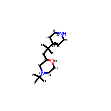 CC(C)(CC1CN(C(C)(C)C)CCO1)C1=CCNCC1